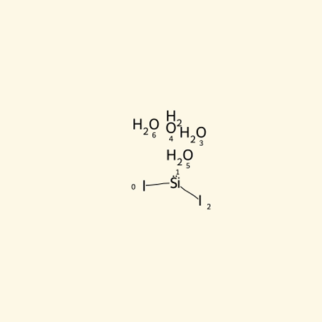 I[Si]I.O.O.O.O